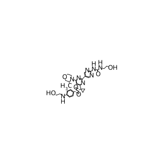 C[C@H]1COCCN1c1cc(C2(S(=O)(=O)c3ccc(NCCO)cc3)CC2)nc(-c2cnc(NC(=O)NCCO)nc2)n1